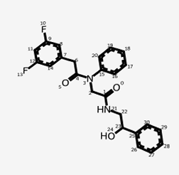 O=C(CN(C(=O)Cc1cc(F)cc(F)c1)c1ccccc1)NCC(O)c1ccccc1